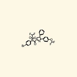 O=C(N1CC(c2ccccc2)C(c2ccc(OC(F)F)cc2)=N1)N(c1ccc(Br)cc1)S(=O)(=O)C(F)F